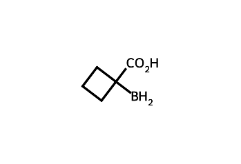 BC1(C(=O)O)CCC1